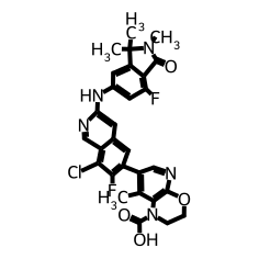 Cc1c(-c2cc3cc(Nc4cc(F)c5c(c4)C(C)(C)N(C)C5=O)ncc3c(Cl)c2F)cnc2c1N(C(=O)O)CCO2